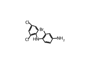 Nc1ccc(Nc2ccc(Cl)cc2Cl)c(Br)c1